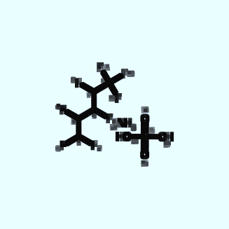 FC(F)C(F)C(F)C(F)C(F)(F)F.N.O=S(=O)(O)O